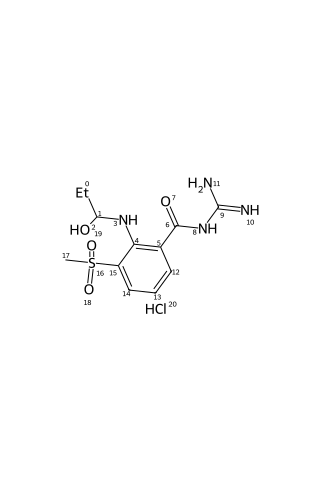 CCC(O)Nc1c(C(=O)NC(=N)N)cccc1S(C)(=O)=O.Cl